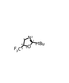 CC(C)(C)C1=NCC(C(F)(F)F)O1